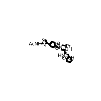 CC(=O)Nc1nc(-c2ccc(S(=O)(=O)N(CC(C)C)C[C@H](O)[C@H](Cc3ccccc3)NC(=O)O)cc2)cs1